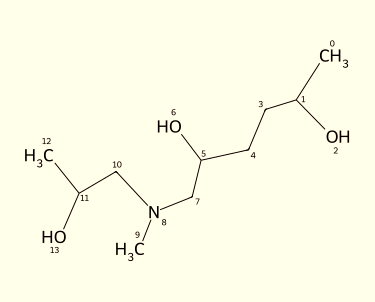 CC(O)CCC(O)CN(C)CC(C)O